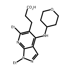 CCc1nc2c(cnn2CC)c(NC2CCOCC2)c1CCC(=O)O